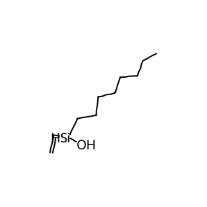 C=C[SiH](O)CCCCCCCC